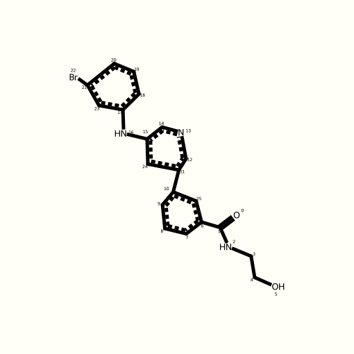 O=C(NCCO)c1cccc(-c2cncc(Nc3cccc(Br)c3)c2)c1